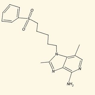 Cc1cnc(N)c2nc(C)n(CCCCCS(=O)(=O)c3ccccc3)c12